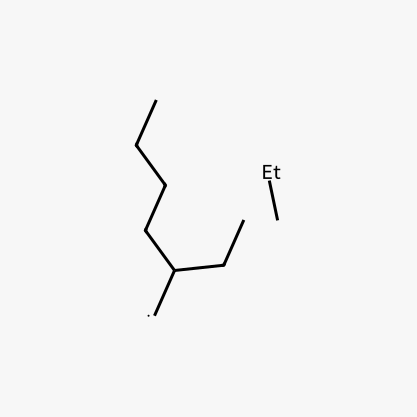 CCC.[CH2]C(CC)CCCC